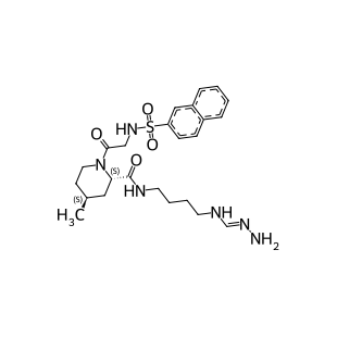 C[C@H]1CCN(C(=O)CNS(=O)(=O)c2ccc3ccccc3c2)[C@H](C(=O)NCCCCNC=NN)C1